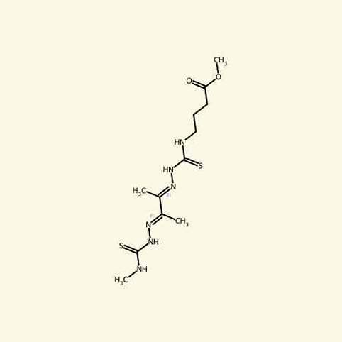 CNC(=S)N/N=C(C)/C(C)=N/NC(=S)NCCCC(=O)OC